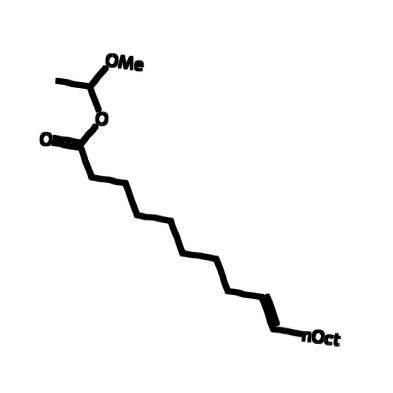 CCCCCCCCC=CCCCCCCCC(=O)OC(C)OC